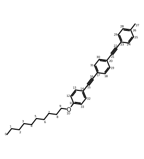 CCCCCCCCCCOc1ccc(C#Cc2ccc(C#Cc3ccc(C)cc3)cc2)cc1